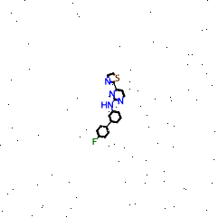 Fc1ccc(-c2cccc(Nc3nccc(-c4nccs4)n3)c2)cc1